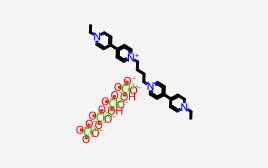 CCN1C=CC(c2cc[n+](CCCC[n+]3ccc(C4=CCN(CC)C=C4)cc3)cc2)=CC1.[O-][Cl+3]([O-])([O-])O.[O-][Cl+3]([O-])([O-])O.[O-][Cl+3]([O-])([O-])[O-].[O-][Cl+3]([O-])([O-])[O-]